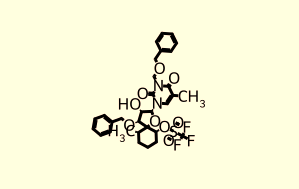 Cc1cn([C@@H]2OC3([C@H](C)CCC[C@@H]3OS(=O)(=O)C(F)(F)F)[C@H](OCc3ccccc3)[C@@H]2O)c(=O)n(COCc2ccccc2)c1=O